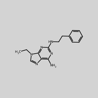 CCn1cnc2c(N)nc(NCCc3ccccc3)nc21